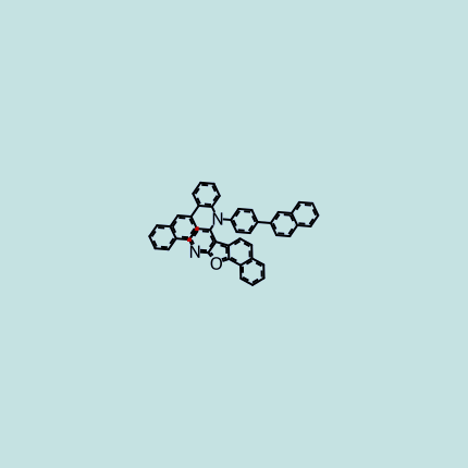 c1ccc(N(c2ccc(-c3ccc4ccccc4c3)cc2)c2ccnc3oc4c5ccccc5ccc4c23)c(-c2ccc3ccccc3c2)c1